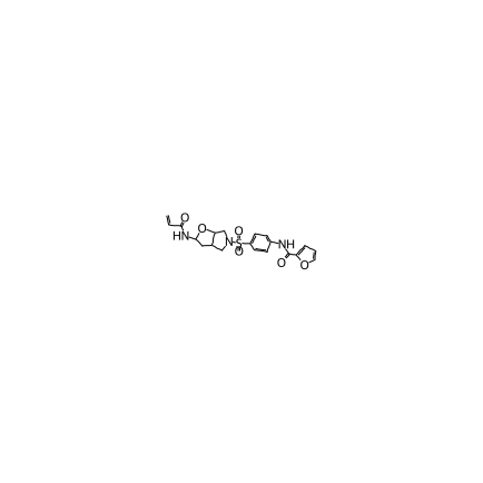 C=CC(=O)NC1CC2CN(S(=O)(=O)c3ccc(NC(=O)c4ccco4)cc3)CC2O1